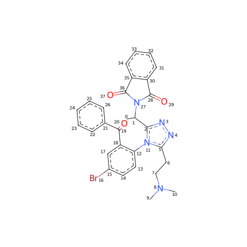 CC(c1nnc(CCN(C)C)n1-c1ccc(Br)cc1C(=O)c1ccccc1)N1C(=O)c2ccccc2C1=O